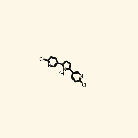 [2H]N1C(c2ccc(Cl)nc2)CCC1c1ccc(Cl)nc1